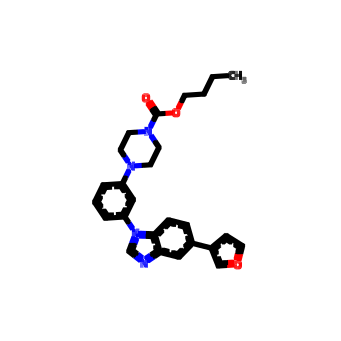 CCCCOC(=O)N1CCN(c2cccc(-n3cnc4cc(-c5ccoc5)ccc43)c2)CC1